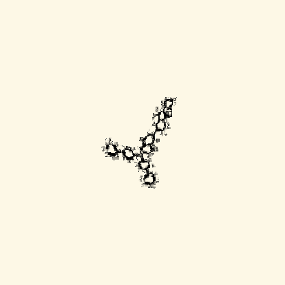 CC1(C)c2cc(-c3ccc4cc(N(c5ccc(-c6ccccc6)cc5)c5ccc(-c6ccccc6)cc5)ccc4c3)ccc2-c2oc3ccccc3c21